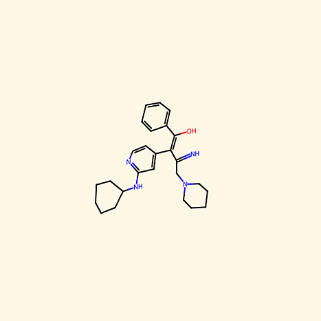 N=C(CN1CCCCC1)/C(=C(\O)c1ccccc1)c1ccnc(NC2CCCCC2)c1